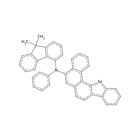 CC1(C)c2ccccc2-c2c(N(c3ccccc3)c3cc4ccc5c6ccccc6[se]c5c4c4ccccc34)cccc21